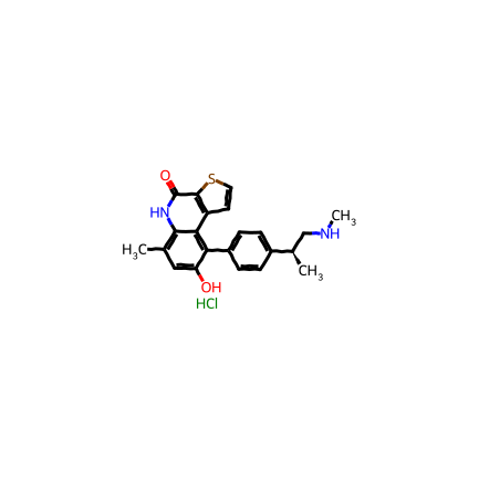 CNC[C@@H](C)c1ccc(-c2c(O)cc(C)c3[nH]c(=O)c4sccc4c23)cc1.Cl